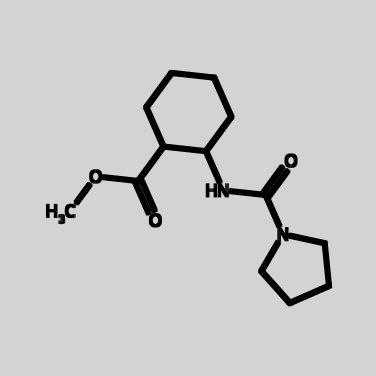 COC(=O)C1CCCCC1NC(=O)N1CCCC1